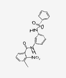 Cc1cccc(C(=O)Nc2cccc(NS(=O)(=O)c3ccccc3)c2)c1[N+](=O)[O-]